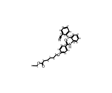 CCOC(=O)CCCCCOc1ccc(C(=O)Nc2ccccc2Sc2ccccc2C#N)cc1